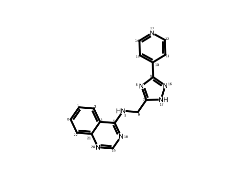 c1ccc2c(NCc3nc(-c4ccncc4)n[nH]3)ncnc2c1